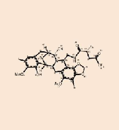 COc1c(C)cc2c(c1O)[C@H]1C3Cc4c(OC(C)=O)c(C)c5c(c4[C@H](CNC(=O)[C@H](C)CC(=O)C(F)(F)F)N3[C@@H](C#N)[C@@H](C2)N1C)OCO5